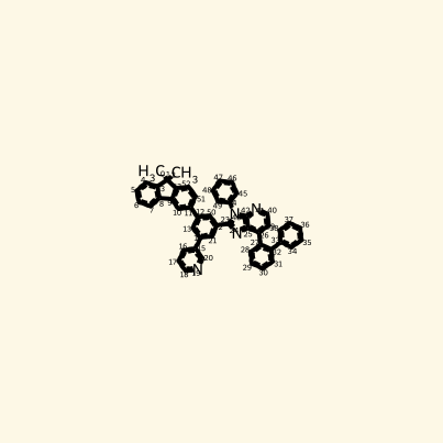 CC1(C)c2ccccc2-c2cc(-c3cc(-c4cccnc4)cc(-c4nc5c(-c6ccccc6-c6ccccc6)ccnc5n4-c4ccccc4)c3)ccc21